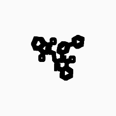 O=C1c2ccccc2C(=O)N1CCc1nc2ccccc2c(=O)n1-c1cccc(-c2ccccc2)c1